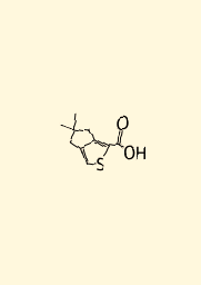 CC1(C)Cc2csc(C(=O)O)c2C1